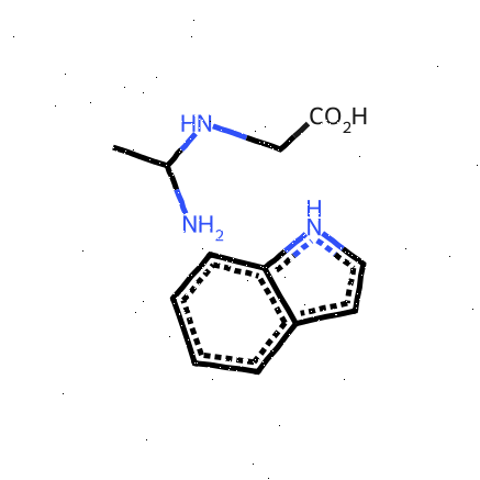 CC(N)NCC(=O)O.c1ccc2[nH]ccc2c1